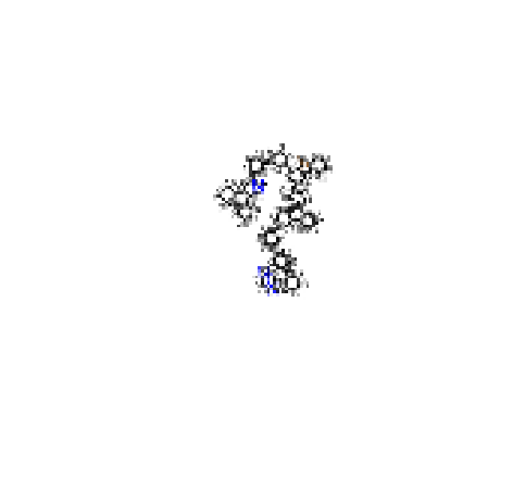 CC1(c2cc(-c3cccc(-c4cccc(-c5cc6c7ccccc7c7ccccc7c6cn5)c4)c3)c3sc4ccccc4c3c2)C=Cc2c(c3ccc(-c4cccc(-c5ccc6c7ccccc7c7nccnc7c6c5)c4)cc3c3ccccc23)C1